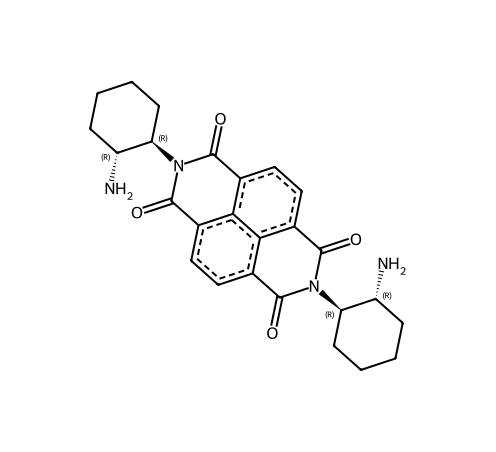 N[C@@H]1CCCC[C@H]1N1C(=O)c2ccc3c4c(ccc(c24)C1=O)C(=O)N([C@@H]1CCCC[C@H]1N)C3=O